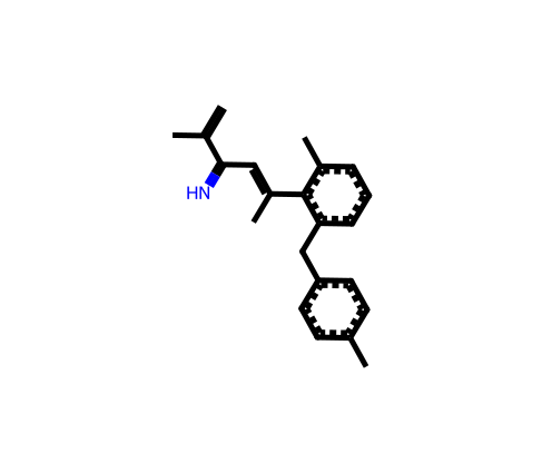 C=C(C)C(=N)/C=C(\C)c1c(C)cccc1Cc1ccc(C)cc1